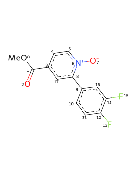 COC(=O)c1cc[n+]([O-])c(-c2ccc(F)c(F)c2)c1